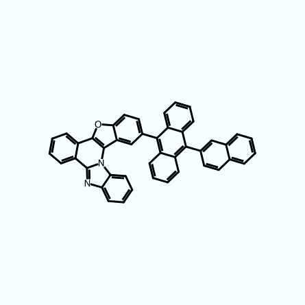 c1ccc2cc(-c3c4ccccc4c(-c4ccc5oc6c7ccccc7c7nc8ccccc8n7c6c5c4)c4ccccc34)ccc2c1